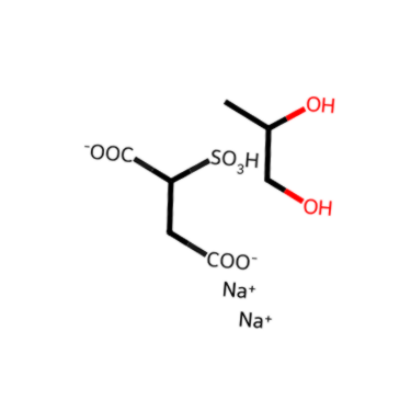 CC(O)CO.O=C([O-])CC(C(=O)[O-])S(=O)(=O)O.[Na+].[Na+]